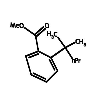 CCCC(C)(C)c1ccccc1C(=O)OC